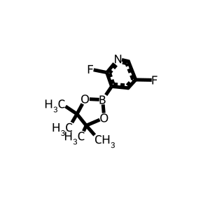 CC1(C)OB(c2cc(F)cnc2F)OC1(C)C